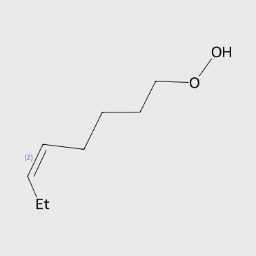 CC/C=C\CCCCOO